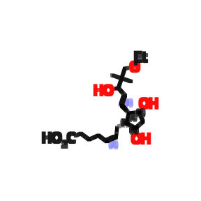 CCOCC(C)(C)C(O)/C=C/[C@@H]1[C@@H](C/C=C\CCCC(=O)O)[C@@H](O)C[C@H]1O